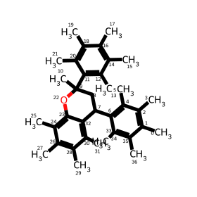 Cc1c(C)c(C)c(C2CC(C)(c3c(C)c(C)c(C)c(C)c3C)Oc3c(C)c(C)c(C)c(C)c32)c(C)c1C